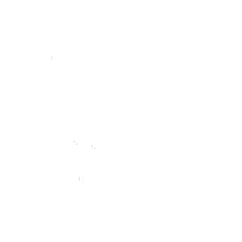 CC#Cc1cccc2c1cnn2C(C)c1ccc(C2CC2)cc1